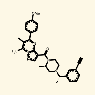 C#Cc1cccc([C@H](C)N2CCN(C(=O)c3cnn4c(C(F)(F)F)c(C)c(-c5ccc(OC)cc5)nc34)[C@H](C)C2)c1